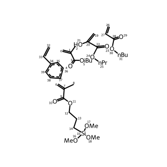 C=C(C)C(=O)OCC(C)C.C=C(C)C(=O)OCCC[Si](OC)(OC)OC.C=C(O)C(=O)OCCC.C=CC(=O)OCCCC.C=Cc1ccccc1